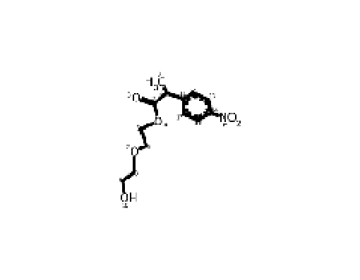 CC(C(=O)OCCOCCO)c1ccc([N+](=O)[O-])cc1